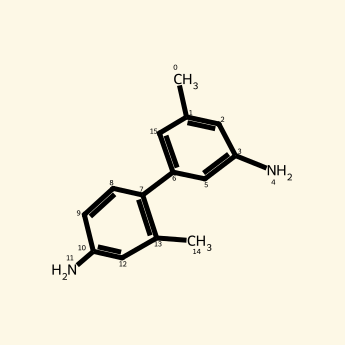 Cc1cc(N)cc(-c2ccc(N)cc2C)c1